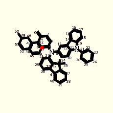 C=C(/C=C\C(=C/C)N(c1ccc2c(c1)c1ccccc1n2-c1ccccc1)c1cccc2c1C(C)(C)c1ccccc1-2)c1cccc2c1CC(C)C=C2